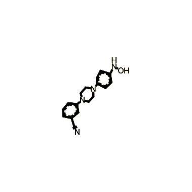 N#Cc1cccc(N2CCN(c3ccc(NO)cc3)CC2)c1